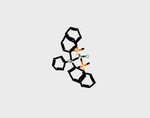 C[PH](C)(c1ccccc1)[Pt]([Cl])([PH](C)(C)c1ccccc1)[Ge]([c]1ccccc1)([c]1ccccc1)[c]1ccccc1